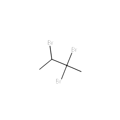 CC(Br)C(C)(Br)Br